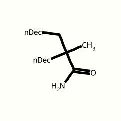 CCCCCCCCCCCC(C)(CCCCCCCCCC)C(N)=O